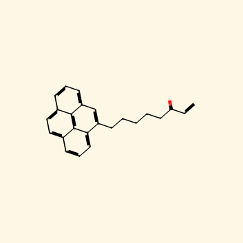 C=CC(=O)CCCCCc1cc2cccc3ccc4cccc1c4c32